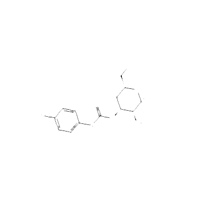 CC(=O)OC[C@H]1O[C@H](OC(C)=O)[C@@H](OC(C)=O)[C@@H](OC(=O)Nc2ccc([N+](=O)[O-])cc2)[C@@H]1OC(C)=O